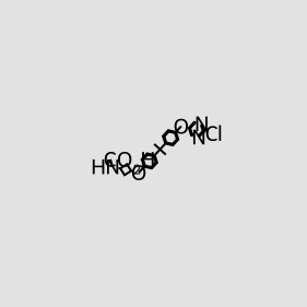 CC(C)(c1ccc(Oc2cnc(Cl)nc2)cc1)c1ccc(O[C@H]2C[C@H](NC(=O)O)C2)cc1